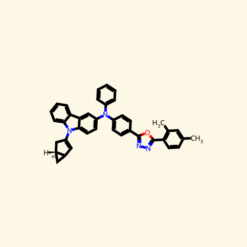 Cc1ccc(-c2nnc(-c3ccc(N(c4ccccc4)c4ccc5c(c4)c4ccccc4n5C4=CC5C[C@@H]5C4)cc3)o2)c(C)c1